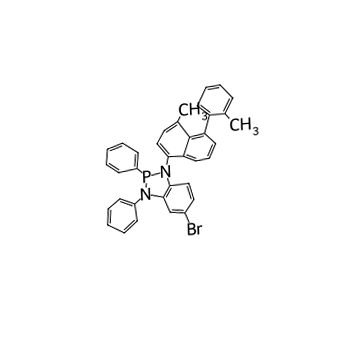 Cc1ccccc1-c1cccc2c(N3c4ccc(Br)cc4N(c4ccccc4)P3c3ccccc3)ccc(C)c12